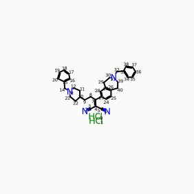 Cl.Cl.N#CC(C#N)=C(CCC1CCN(Cc2ccccc2)CC1)c1ccc2c(c1)CCN(Cc1ccccc1)CC2